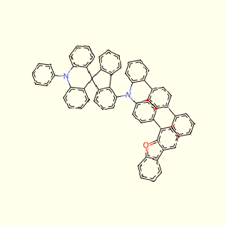 c1ccc(-c2ccc(-c3ccccc3N(c3ccc(-c4cccc5c4oc4ccccc45)cc3)c3cccc4c3-c3ccccc3C43c4ccccc4N(c4ccccc4)c4ccccc43)cc2)cc1